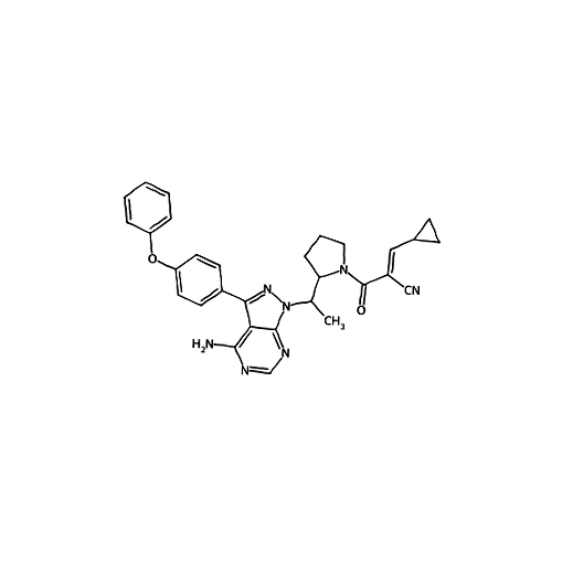 CC(C1CCCN1C(=O)C(C#N)=CC1CC1)n1nc(-c2ccc(Oc3ccccc3)cc2)c2c(N)ncnc21